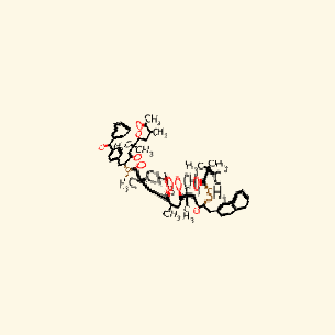 CC(=O)C(C)CC(=O)C(C)(C)CC(=O)C(Cc1ccc(C(=O)c2ccccc2)cc1)SC(=O)C(C)(C)CC(=O)C(C)CC(=O)C(C)(C)CC(=O)C(Cc1ccc2ccccc2c1)SC(=O)C(C)(C)C